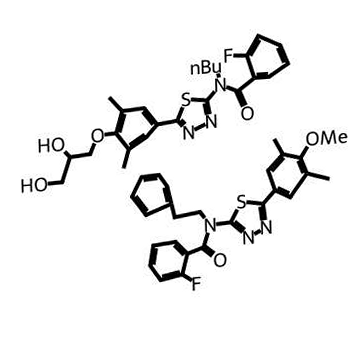 CCCCN(C(=O)c1ccccc1F)c1nnc(-c2cc(C)c(OCC(O)CO)c(C)c2)s1.COc1c(C)cc(-c2nnc(N(CCc3ccccc3)C(=O)c3ccccc3F)s2)cc1C